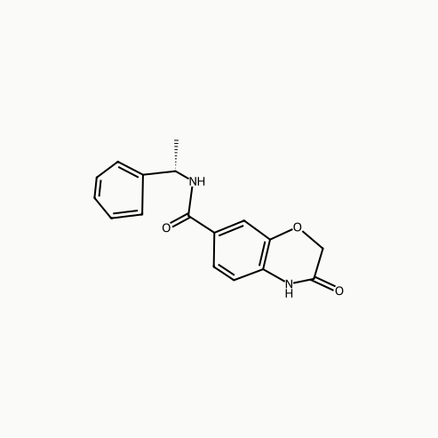 C[C@H](NC(=O)c1ccc2c(c1)OCC(=O)N2)c1ccccc1